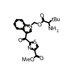 COC(=O)c1csc(C(=O)c2cn(COC(=O)C(N)C(C)(C)C)c3ccccc23)n1